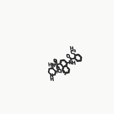 Cc1ccccc1C(=O)Nc1ccc(S(=O)(=O)N[C@@H]2CCNC[C@@H]2C)c2ccccc12